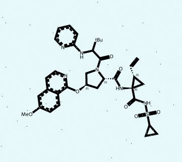 C=C[C@@H]1C[C@]1(NC(=O)[C@@H]1C[C@@H](Oc2nccc3cc(OC)ccc23)CN1C(=O)C(Nc1ccccn1)C(C)(C)C)C(=O)NS(=O)(=O)C1CC1